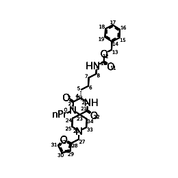 CCCN1C(=O)[C@H](CCCCNC(=O)OCc2ccccc2)NC(=O)C12CCN(Cc1ccco1)CC2